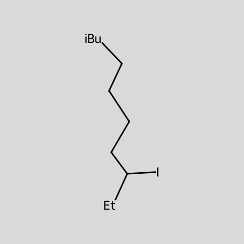 CCC(C)CCCCC(I)CC